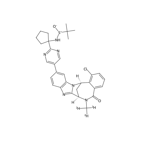 [2H]C([2H])([2H])N1C(=O)c2cccc(Cl)c2[C@H]2C[C@@H]1c1nc3ccc(-c4cnc(C5(N[S+]([O-])C(C)(C)C)CCCC5)nc4)cc3n12